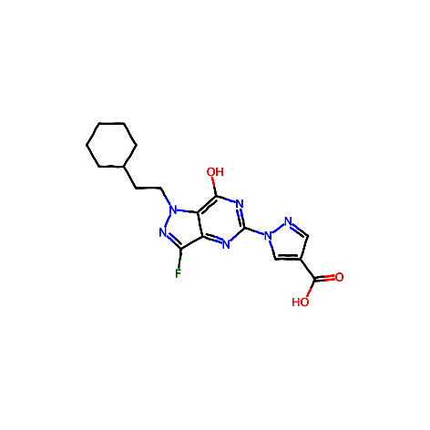 O=C(O)c1cnn(-c2nc(O)c3c(n2)c(F)nn3CCC2CCCCC2)c1